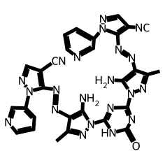 [C-]#[N+]c1cnn(-c2cccnc2)c1N=Nc1c(C)nn(-c2nc(-n3nc(C)c(N=Nc4c(C#N)cnn4-c4cccnc4)c3N)[nH]c(=O)n2)c1N